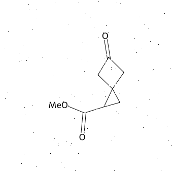 COC(=O)C1CC12CC(=O)C2